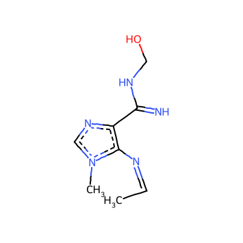 C/C=N\c1c(C(=N)NCO)ncn1C